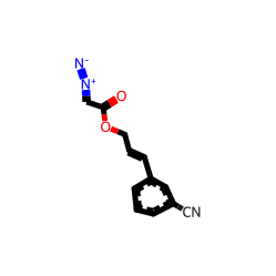 N#Cc1cccc(/C=C/COC(=O)C=[N+]=[N-])c1